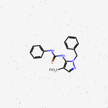 CCOC(=O)c1cnn(Cc2ccccc2)c1NC(=S)Nc1ccccc1